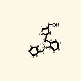 OCc1csc(-c2nn(Cc3ccccc3)c3ccccc23)n1